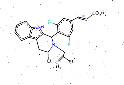 C=C(CC)CN1C(CC)Cc2c([nH]c3ccccc23)C1c1c(F)cc(/C=C/C(=O)O)cc1F